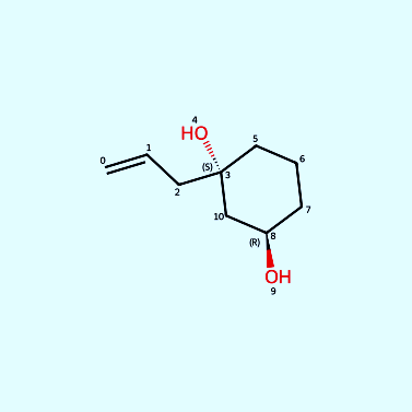 C=CC[C@@]1(O)CCC[C@@H](O)C1